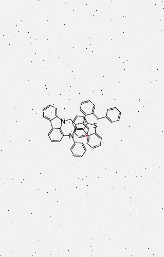 c1ccc(Cc2ccccc2-c2ccccc2Cn2c3ccccc3c3cccc(N(c4ccccc4)c4cccc5sc6ccccc6c45)c32)cc1